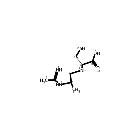 CC(=N)NC(C)CN[C@H](CS)C(=O)O